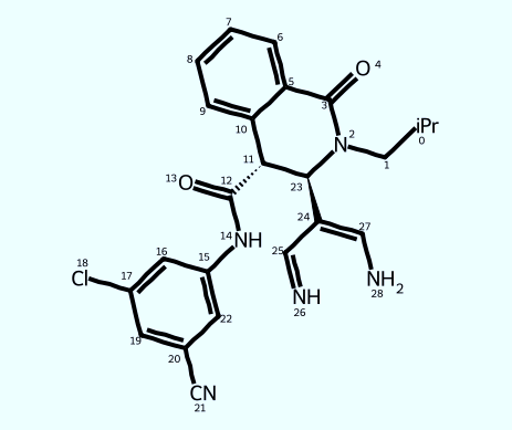 CC(C)CN1C(=O)c2ccccc2[C@@H](C(=O)Nc2cc(Cl)cc(C#N)c2)[C@@H]1/C(C=N)=C/N